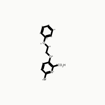 O=C(O)c1nc(Br)ccc1OCCOc1ccccc1